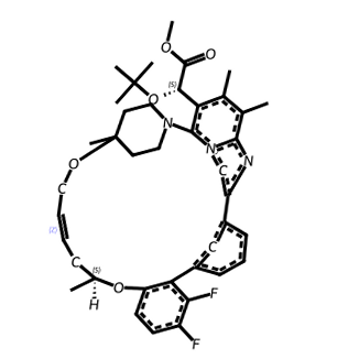 COC(=O)[C@@H](OC(C)(C)C)c1c(C)c(C)c2nc3cn2c1N1CCC(C)(CC1)OC/C=C\C[C@H](C)Oc1ccc(F)c(F)c1-c1cccc-3c1